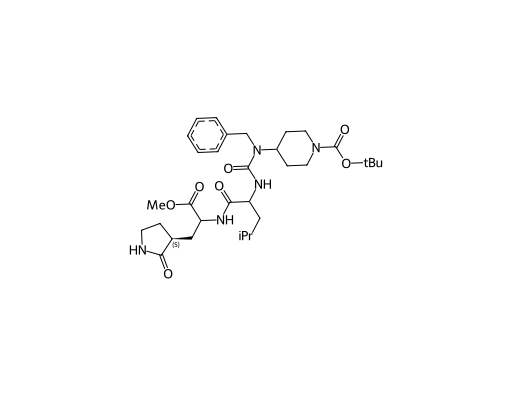 COC(=O)C(C[C@@H]1CCNC1=O)NC(=O)C(CC(C)C)NC(=O)N(Cc1ccccc1)C1CCN(C(=O)OC(C)(C)C)CC1